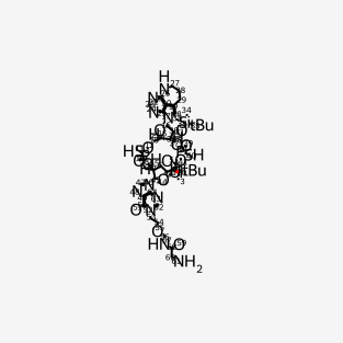 CC(C)(C)[Si](C)(C)CO[C@H]1[C@H]2OP(=O)(S)OC[C@H]3O[C@@H](n4cc5c6c(ncnc64)NCCC5)[C@H](O[Si](C)(C)C(C)(C)C)[C@@H]3OP(=O)(S)OC[C@H]1O[C@H]2n1cnc2c(=O)n(CCOCNC(=O)CN)cnc21